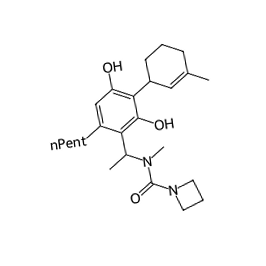 CCCCCc1cc(O)c(C2C=C(C)CCC2)c(O)c1C(C)N(C)C(=O)N1CCC1